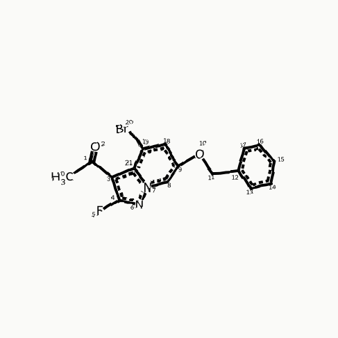 CC(=O)c1c(F)nn2cc(OCc3ccccc3)cc(Br)c12